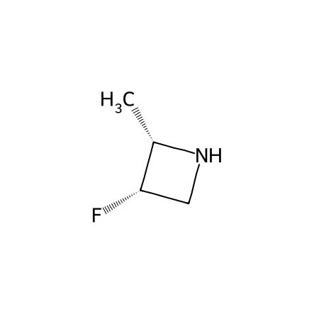 C[C@@H]1NC[C@@H]1F